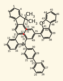 CC1(C)c2ccccc2-c2cc(-c3ccccc3N(c3ccc(-c4ccccc4)cc3)c3cccc(-c4cccc5c4oc4ccccc45)c3)ccc21